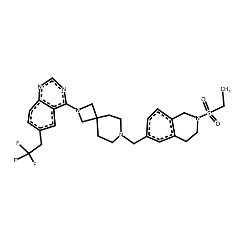 CCS(=O)(=O)N1CCc2cc(CN3CCC4(CC3)CN(c3ncnc5ccc(CC(F)(F)F)cc35)C4)ccc2C1